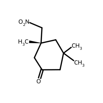 CC1(C)CC(=O)C[C@](C)(C[N+](=O)[O-])C1